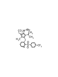 C=C(C)c1c(Cc2cccnc2S(=O)(=O)c2ccc(C(F)(F)F)cc2)c(C)n(CC(=O)O)c1CC(C)(C)C